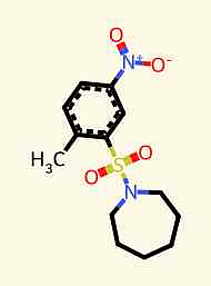 Cc1ccc([N+](=O)[O-])cc1S(=O)(=O)N1CCCCCC1